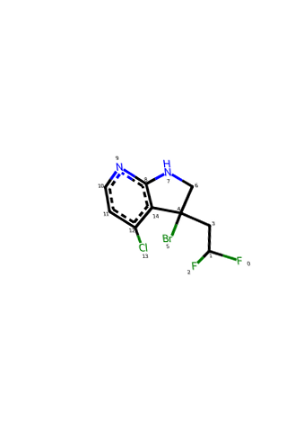 FC(F)CC1(Br)CNc2nccc(Cl)c21